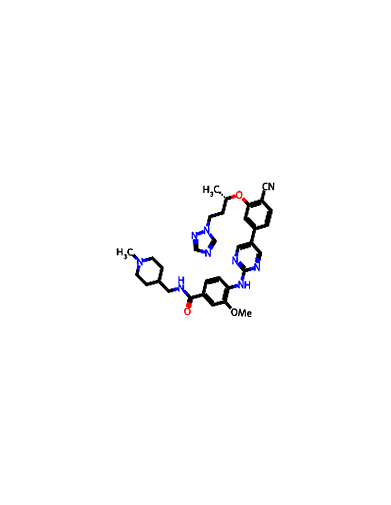 COc1cc(C(=O)NCC2CCN(C)CC2)ccc1Nc1ncc(-c2ccc(C#N)c(O[C@@H](C)CCn3cncn3)c2)cn1